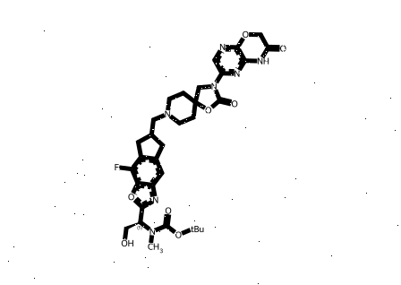 CN(C(=O)OC(C)(C)C)[C@@H](CO)c1nc2cc3c(c(F)c2o1)CC(CN1CCC2(CC1)CN(c1cnc4c(n1)NC(=O)CO4)C(=O)O2)C3